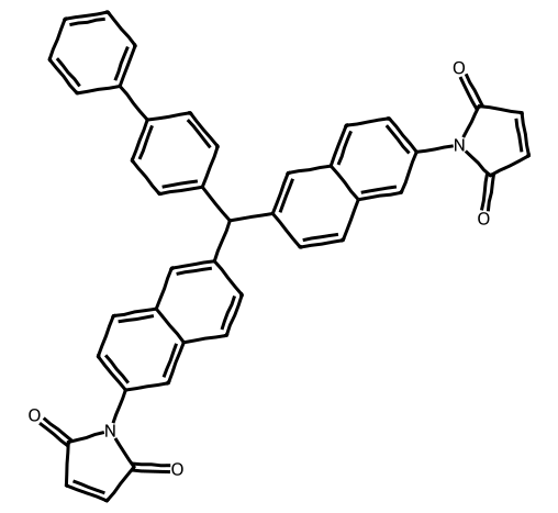 O=C1C=CC(=O)N1c1ccc2cc(C(c3ccc(-c4ccccc4)cc3)c3ccc4cc(N5C(=O)C=CC5=O)ccc4c3)ccc2c1